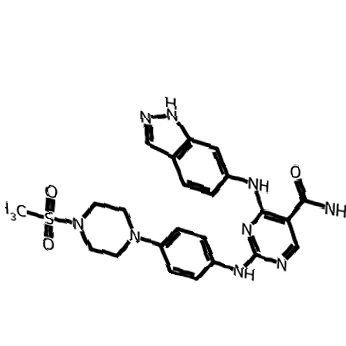 CS(=O)(=O)N1CCN(c2ccc(Nc3ncc(C(N)=O)c(Nc4ccc5cn[nH]c5c4)n3)cc2)CC1